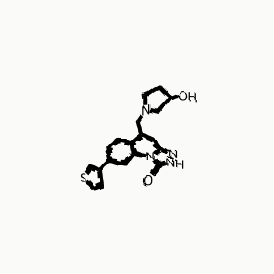 O=c1[nH]nc2cc(CN3CCC(O)C3)c3ccc(-c4ccsc4)cc3n12